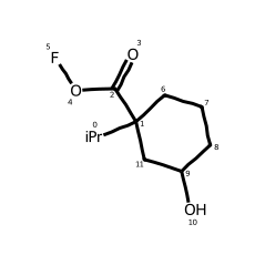 CC(C)C1(C(=O)OF)CCCC(O)C1